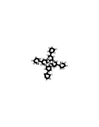 c1ccc(-c2ccc([Si](c3ccc(-c4ccccc4)cn3)(c3ccc(-c4ccccn4)cn3)c3ccc(-c4ccccn4)cn3)cc2)cc1